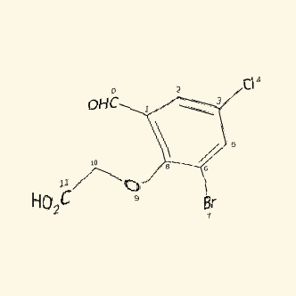 O=Cc1cc(Cl)cc(Br)c1OCC(=O)O